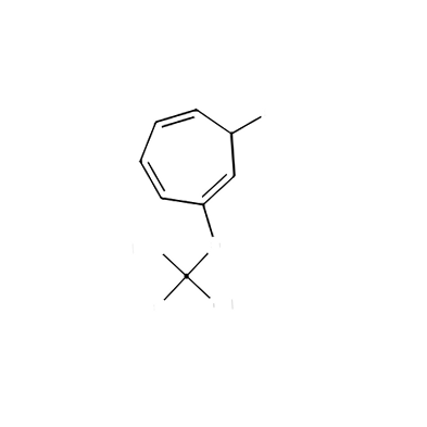 CC1C=CC=CC(OC(C)(C)C)=C1